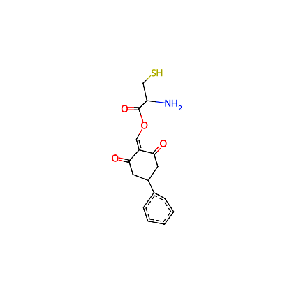 NC(CS)C(=O)OC=C1C(=O)CC(c2ccccc2)CC1=O